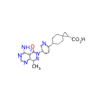 Cc1nn(-c2ccc(C3CCC4(CC3)CC4C(=O)O)nc2)c(=O)c2c(N)ncnc12